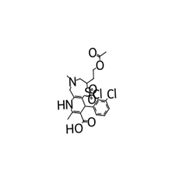 CC(=O)OCCC1CN(C)CC2=C(C(c3cccc(Cl)c3Cl)C(C(=O)O)=C(C)N2)S1(=O)=O